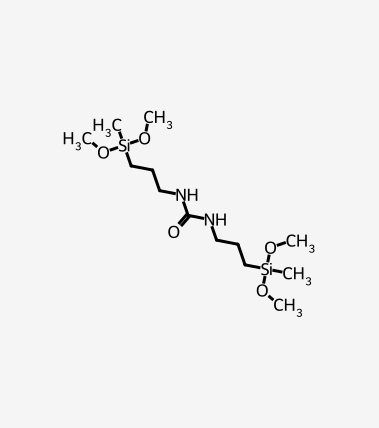 CO[Si](C)(CCCNC(=O)NCCC[Si](C)(OC)OC)OC